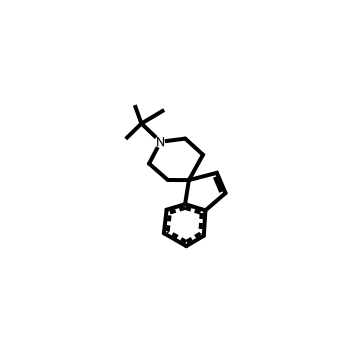 CC(C)(C)N1CCC2(C=Cc3ccccc32)CC1